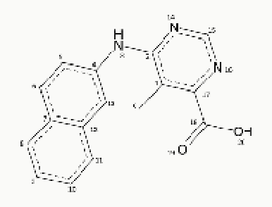 Cc1c(Nc2ccc3ccccc3c2)ncnc1C(=O)O